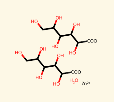 O.O=C([O-])C(O)C(O)C(O)C(O)CO.O=C([O-])C(O)C(O)C(O)C(O)CO.[Zn+2]